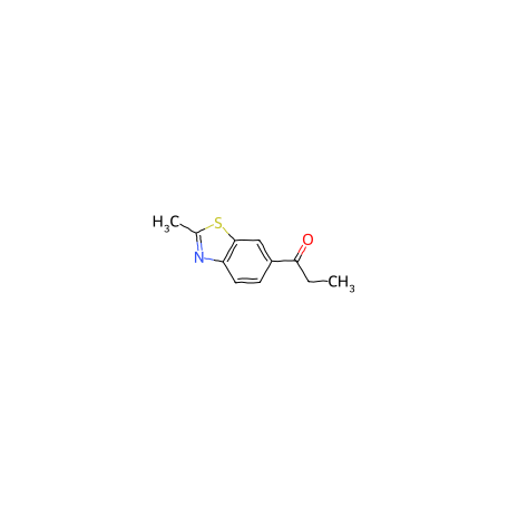 CCC(=O)c1ccc2nc(C)sc2c1